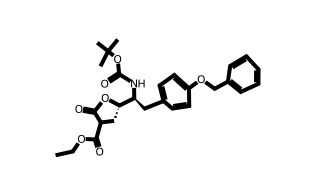 CCOC(=O)C1C[C@@H]([C@H](Cc2ccc(OCc3ccccc3)cc2)NC(=O)OC(C)(C)C)OC1=O